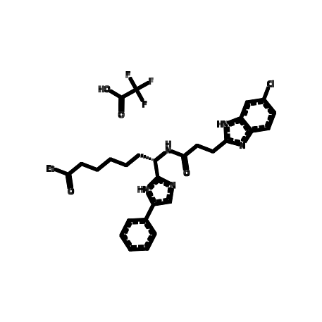 CCC(=O)CCCCC[C@H](NC(=O)CCc1nc2ccc(Cl)cc2[nH]1)c1ncc(-c2ccccc2)[nH]1.O=C(O)C(F)(F)F